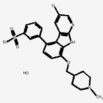 CCS(=O)(=O)c1cccc(-c2ccc(OCC3CCN(C)CC3)c3[nH]c4ncc(Cl)cc4c23)c1.Cl